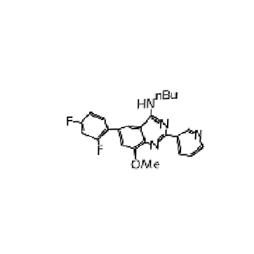 CCCCNc1nc(-c2cccnc2)nc2c(OC)cc(-c3ccc(F)cc3F)cc12